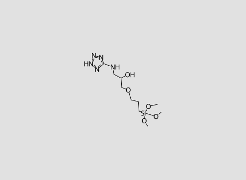 CO[Si](CCCOCC(O)CNc1nn[nH]n1)(OC)OC